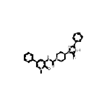 Cn1cc(-c2ccccc2)cc(NC(=O)N2CCC(n3nc(-c4ccccc4)[nH]c3=O)CC2)c1=O